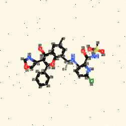 Cc1cc([C@@H](C)Nc2ccc(Cl)nc2C(=O)NS(C)(=O)=O)c2oc(-c3ccccc3)c(-c3cocn3)c(=O)c2c1